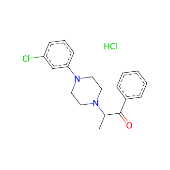 CC(C(=O)c1ccccc1)N1CCN(c2cccc(Cl)c2)CC1.Cl